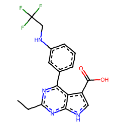 CCc1nc(-c2cccc(NCC(F)(F)F)c2)c2c(C(=O)O)c[nH]c2n1